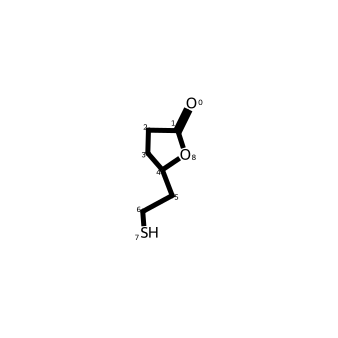 O=C1CCC(CCS)O1